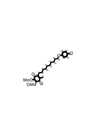 COC1=C(OC)C(=O)C(CCCCCCCCCCOc2ccc(Cl)cc2)=C(C)C1=O